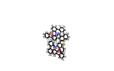 c1ccc(-c2ccccc2N(Cc2cc3c4cc(N(c5ccccc5-c5ccccc5)c5cccc6c5oc5ccccc56)c5ccccc5c4sc3c3ccccc23)c2cccc3c2oc2ccccc23)cc1